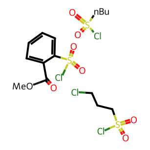 CCCCS(=O)(=O)Cl.COC(=O)c1ccccc1S(=O)(=O)Cl.O=S(=O)(Cl)CCCCl